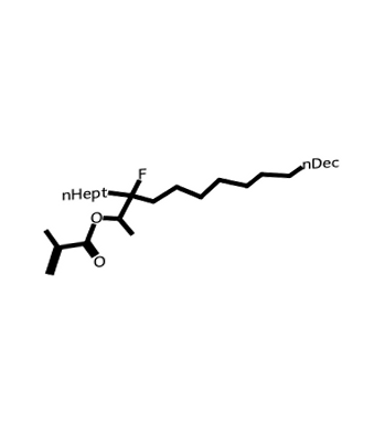 C=C(C)C(=O)OC(C)C(F)(CCCCCCC)CCCCCCCCCCCCCCCCC